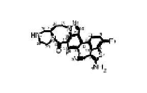 N#Cc1c(N)sc2c(F)ccc(-c3c(F)c(F)c4c5c3cnn5CCC3CNCCN3C4=O)c12